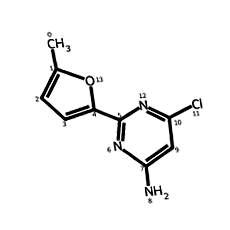 Cc1ccc(-c2nc(N)cc(Cl)n2)o1